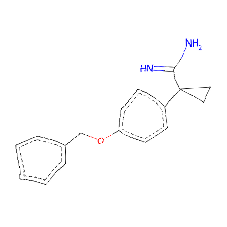 N=C(N)C1(c2ccc(OCc3ccccc3)cc2)CC1